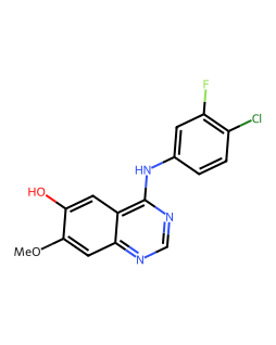 COc1cc2ncnc(Nc3ccc(Cl)c(F)c3)c2cc1O